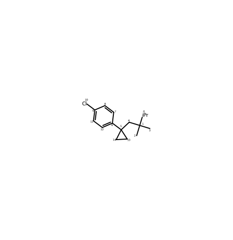 CC(C)C(C)(C)CC1(c2ccc(Cl)cc2)CC1